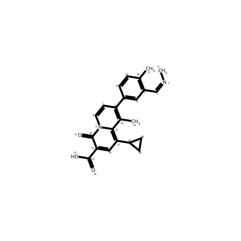 C/N=C\c1cc(-c2ccn3c(=O)c(C(=O)O)cc(C4CC4)c3c2C)ccc1C